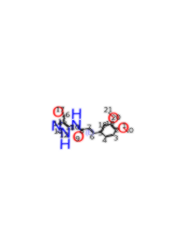 COc1ccc(/C=C/C(=O)Nc2[nH]cnc2C=O)cc1OC